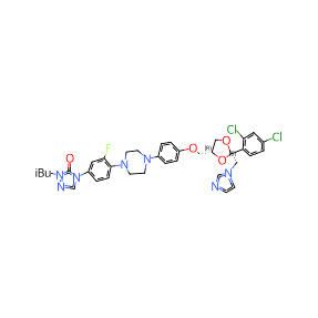 CCC(C)n1ncn(-c2ccc(N3CCN(c4ccc(OC[C@@H]5CO[C@@](Cn6ccnc6)(c6ccc(Cl)cc6Cl)O5)cc4)CC3)c(F)c2)c1=O